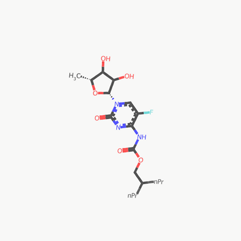 CCCC(CCC)COC(=O)Nc1nc(=O)n([C@@H]2O[C@H](C)C(O)C2O)cc1F